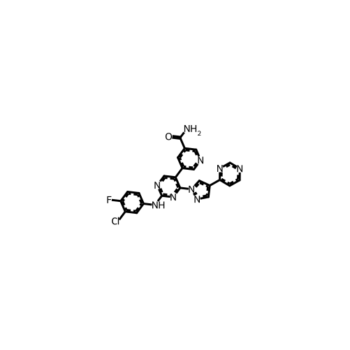 NC(=O)c1cncc(-c2cnc(Nc3ccc(F)c(Cl)c3)nc2-n2cc(-c3ccncn3)cn2)c1